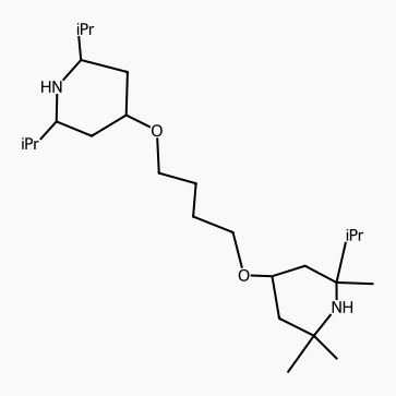 CC(C)C1CC(OCCCCOC2CC(C)(C)NC(C)(C(C)C)C2)CC(C(C)C)N1